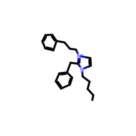 CCCCCn1cc[n+](CCCc2ccccc2)c1Cc1ccccc1